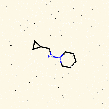 C1CCN(NCC2CC2)CC1